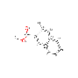 COC(=O)c1cc2ccccc2cc1C